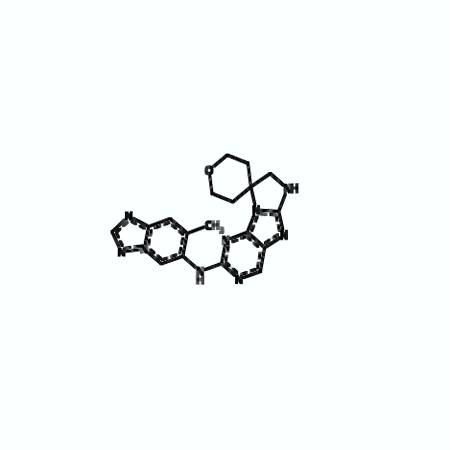 Cc1cc2ncnn2cc1Nc1ncc2nc3n(c2n1)C1(CCOCC1)CN3